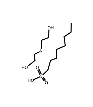 CCCCCCCCS(=O)(=O)O.OCCNCCO